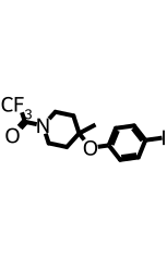 CC1(Oc2ccc(I)cc2)CCN(C(=O)C(F)(F)F)CC1